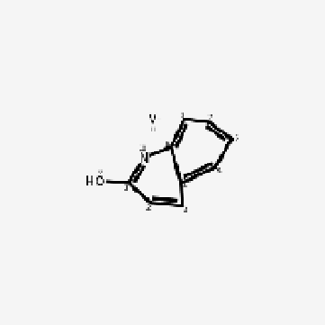 Oc1ccc2ccccc2n1.[V]